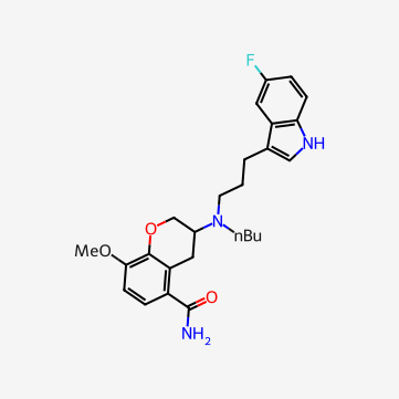 CCCCN(CCCc1c[nH]c2ccc(F)cc12)C1COc2c(OC)ccc(C(N)=O)c2C1